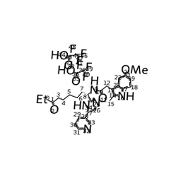 CCC(=O)CCCCC[C@H](NC(=O)Cc1c(C)[nH]c2ccc(OC)cc12)c1ncc(-c2cccnc2)[nH]1.O=C(O)C(F)(F)F.O=C(O)C(F)(F)F